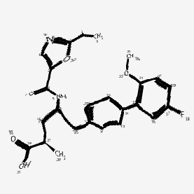 CCc1ncc(C(=O)NC(Cc2ccc(-c3cc(F)ccc3OC)cc2)C[C@@H](C)C(=O)O)o1